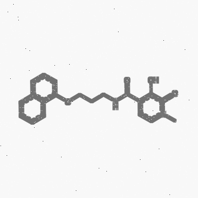 Cn1ccc(C(=O)NCCCOc2cccc3ccccc23)c(O)c1=O